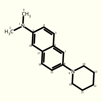 CN(C)c1ccc2cc(N3CCCCC3)ccc2c1